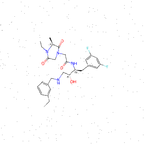 CCc1cccc(CNC[C@@H](O)[C@H](Cc2cc(F)cc(F)c2)NC(=O)CN2CC(=O)N(CC)[C@@H](C)C2=O)c1